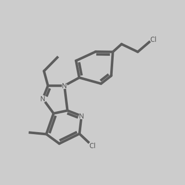 CCc1nc2c(C)cc(Cl)nc2n1-c1ccc(CCCl)cc1